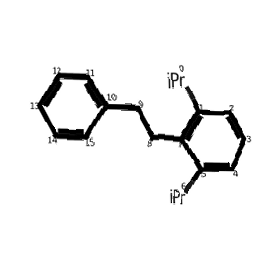 CC(C)c1cccc(C(C)C)c1CCc1ccccc1